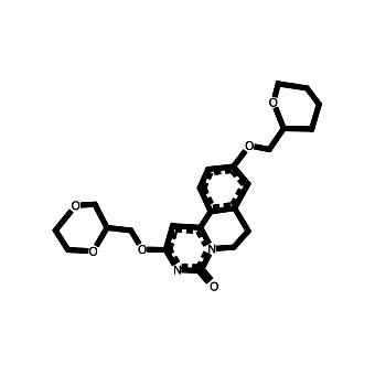 O=c1nc(OCC2COCCO2)cc2n1CCc1cc(OCC3CCCCO3)ccc1-2